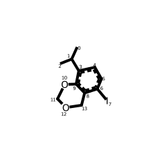 CC(C)c1ccc(I)c2c1OCOC2